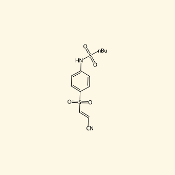 CCCCS(=O)(=O)Nc1ccc(S(=O)(=O)C=CC#N)cc1